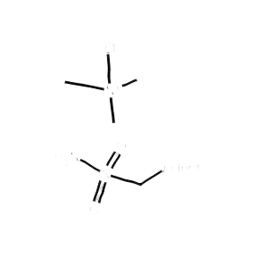 CCCCCCCCS(N)(=O)=O.CC[N+](C)(C)C.[I-]